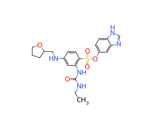 CCNC(=O)Nc1cc(NCC2CCCO2)ccc1S(=O)(=O)Oc1ccc2[nH]cnc2c1